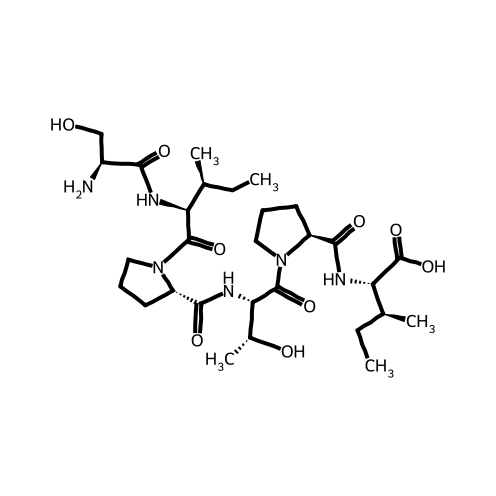 CC[C@H](C)[C@H](NC(=O)[C@@H]1CCCN1C(=O)[C@@H](NC(=O)[C@@H]1CCCN1C(=O)[C@@H](NC(=O)[C@@H](N)CO)[C@@H](C)CC)[C@@H](C)O)C(=O)O